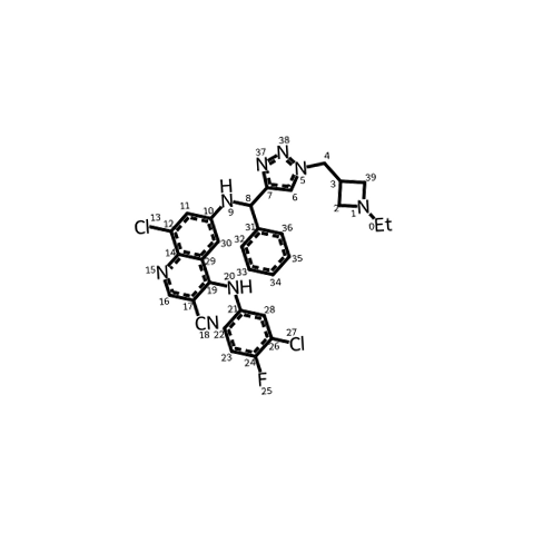 CCN1CC(Cn2cc(C(Nc3cc(Cl)c4ncc(C#N)c(Nc5ccc(F)c(Cl)c5)c4c3)c3ccccc3)nn2)C1